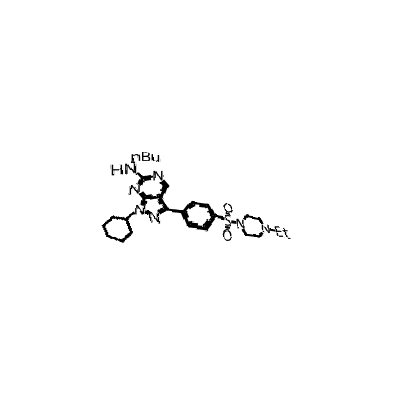 CCCCNc1ncc2c(-c3ccc(S(=O)(=O)N4CCN(CC)CC4)cc3)nn(C3CCCCC3)c2n1